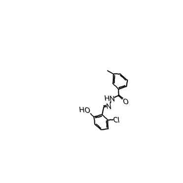 Cc1cccc(C(=O)N/N=C/c2c(O)cccc2Cl)c1